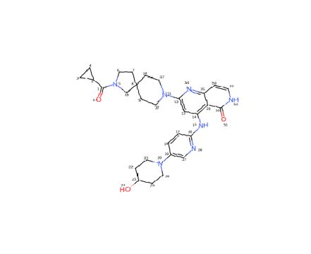 O=C(C1CC1)N1CCC2(CCN(c3cc(Nc4ccc(N5CCC(O)CC5)cn4)c4c(=O)[nH]ccc4n3)CC2)C1